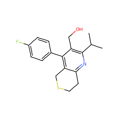 CC(C)c1nc2c(c(-c3ccc(F)cc3)c1CO)CSCC2